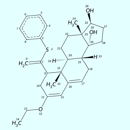 C=C(Sc1ccccc1)C1CC(OCC)=CC2=CC[C@@H]3[C@H](CC[C@]4(C)[C@@H](O)CC[C@@]34O)[C@]21C